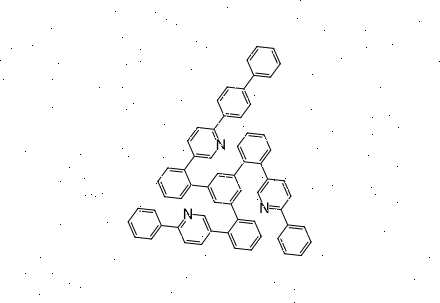 c1ccc(-c2ccc(-c3ccc(-c4ccccc4-c4cc(-c5ccccc5-c5ccc(-c6ccccc6)nc5)cc(-c5ccccc5-c5ccc(-c6ccccc6)nc5)c4)cn3)cc2)cc1